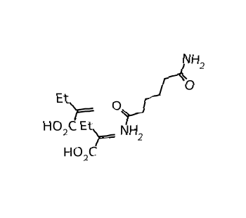 C=C(CC)C(=O)O.C=C(CC)C(=O)O.NC(=O)CCCCC(N)=O